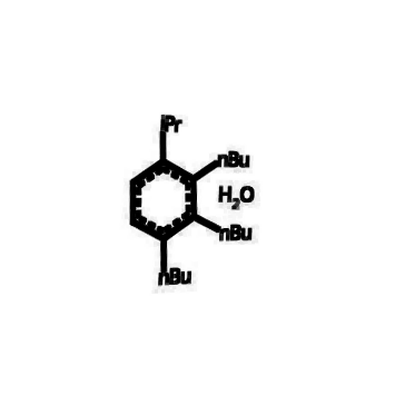 CCCCc1ccc(C(C)C)c(CCCC)c1CCCC.O